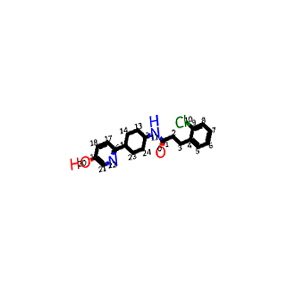 O=C(CCc1ccccc1Cl)NC1CCC(c2ccc(O)cn2)CC1